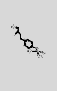 C=CC(=O)CCc1ccc(O[Si](C)(C)C(C)(C)C)cc1